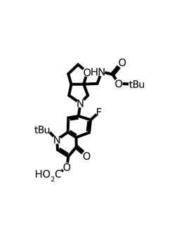 CC(C)(C)OC(=O)NCC12CN(c3cc4c(cc3F)c(=O)c(OC(=O)O)cn4C(C)(C)C)CC1CCO2